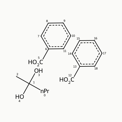 CCCC(C)(O)O.O=C(O)c1ccccc1.O=C(O)c1ccccc1